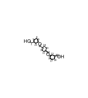 OCc1cccc(OCC2CCC(COc3cccc(CO)c3)CC2)c1